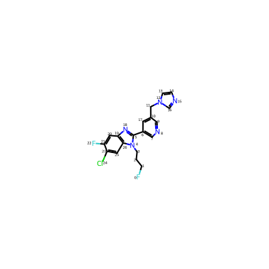 FCCCn1c(-c2cncc(Cn3ccnc3)c2)nc2cc(F)c(Cl)cc21